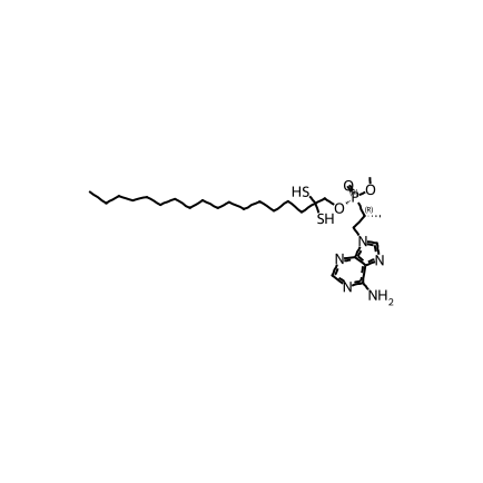 CCCCCCCCCCCCCCCCC(S)(S)CO[P@](=O)(OC)[C@H](C)Cn1cnc2c(N)ncnc21